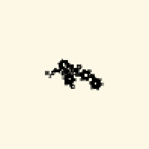 CCC[C@H]1CCC[C@@H](COC(=O)NC2CCN(Cc3ccccc3)CC2)N1S(=O)(=O)c1ccc(Cl)cc1